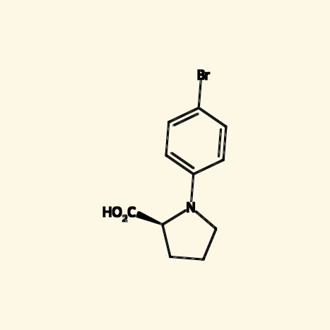 O=C(O)[C@@H]1CCCN1c1ccc(Br)cc1